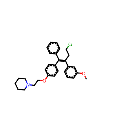 COc1cccc(C(CCCl)=C(c2ccccc2)c2ccc(OCCN3CCCCC3)cc2)c1